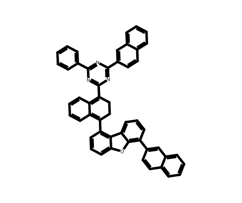 c1ccc(-c2nc(C3=c4ccccc4=C(c4cccc5oc6c(-c7ccc8ccccc8c7)cccc6c45)CC3)nc(-c3ccc4ccccc4c3)n2)cc1